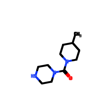 CC1CCN(C(=O)N2CCNCC2)CC1